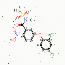 CS(=O)(=O)N(Cl)C(=O)c1cc(Oc2ccc(Cl)cc2Cl)ccc1[N+](=O)[O-]